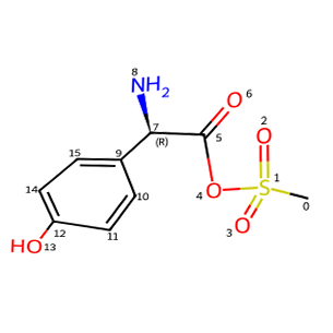 CS(=O)(=O)OC(=O)[C@H](N)c1ccc(O)cc1